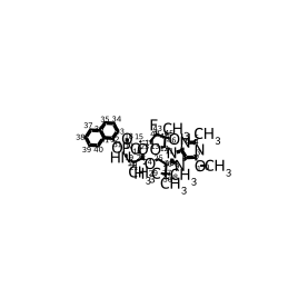 COc1nc(C)nc2c1ncn2[C@@H]1O[C@H](COP(=O)(N[C@@H](C)C(=O)OCCC(C)(C)C)Oc2cccc3ccccc23)[C@@H](F)[C@@]1(C)O